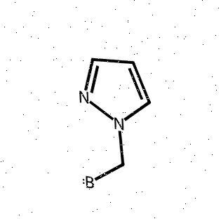 [B]Cn1cccn1